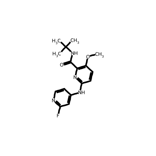 COc1ccc(Nc2ccnc(F)c2)nc1C(=O)NC(C)(C)C